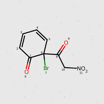 O=C1C=CC=CC1(Br)C(=O)C[N+](=O)[O-]